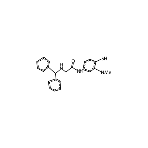 CNc1cc(NC(=O)CNC(c2ccccc2)c2ccccc2)ccc1S